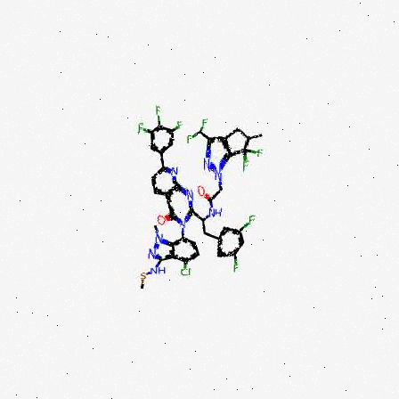 CSNc1nn(C)c2c(-n3c(C(Cc4cc(F)cc(F)c4)NC(=O)Cn4nc(C(F)F)c5c4C(F)(F)C(C)C5)nc4nc(-c5cc(F)c(F)c(F)c5)ccc4c3=O)ccc(Cl)c12